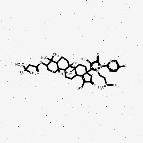 Cc1c(C23CC[C@]4(C)C(CCC5C6(C)CCC(OC(=O)CC(C)(C)C(=O)O)C(C)(C)C6CCC54C)C2=C(C(C)C)C(=O)C3)n(CCN(C)C)n(-c2ccc(Cl)cn2)c1=O